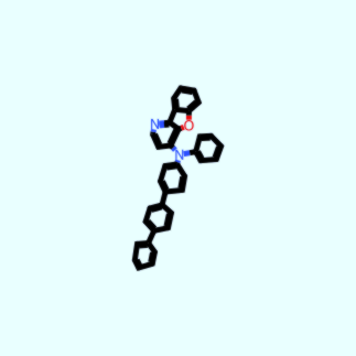 c1ccc(-c2ccc(-c3ccc(N(c4ccccc4)c4ccnc5c4oc4ccccc45)cc3)cc2)cc1